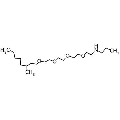 CCCCCC(C)CCOCCOCCOCCOCCNCCC